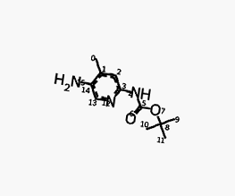 Cc1cc(NC(=O)OC(C)(C)C)ncc1N